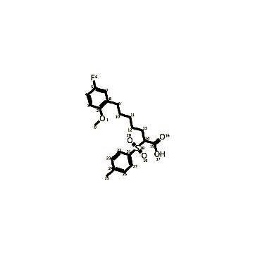 COc1ccc(F)cc1CCCCCC(C(=O)O)S(=O)(=O)c1ccc(C)cc1